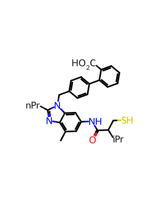 CCCc1nc2c(C)cc(NC(=O)C(CS)C(C)C)cc2n1Cc1ccc(-c2ccccc2C(=O)O)cc1